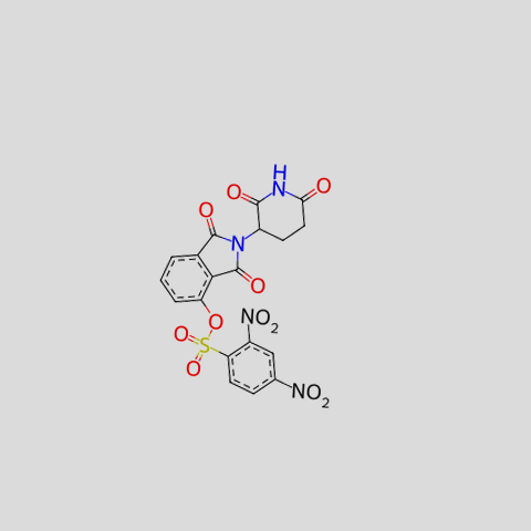 O=C1CCC(N2C(=O)c3cccc(OS(=O)(=O)c4ccc([N+](=O)[O-])cc4[N+](=O)[O-])c3C2=O)C(=O)N1